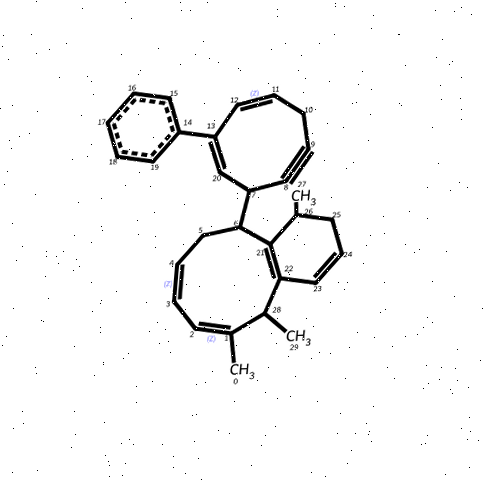 C/C1=C/C=C\CC(C2C#CC/C=C\C(c3ccccc3)=C2)C2=C(C=CCC2C)C1C